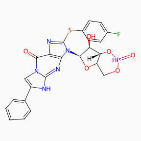 O=c1c2nc(Sc3ccc(F)cc3)n([C@@H]3OC4CO[PH](=O)O[C@H]4[C@@H]3O)c2nc2[nH]c(-c3ccccc3)cn12